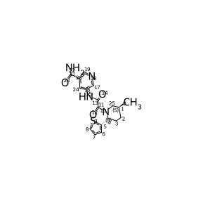 C[C@H]1CC[C@H](c2cccs2)N(C(=O)C(=O)Nc2cncc(C(N)=O)c2)C1